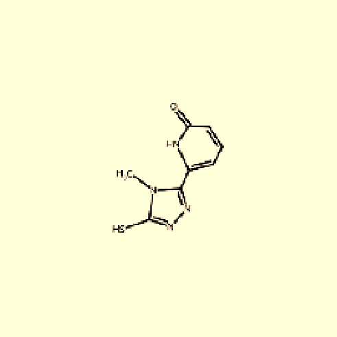 Cn1c(S)nnc1-c1cccc(=O)[nH]1